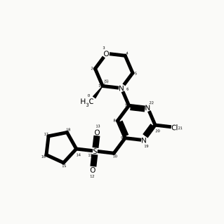 C[C@H]1COCCN1c1cc(CS(=O)(=O)C2CCCC2)nc(Cl)n1